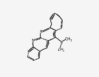 CN(C)c1c2ccccc2nc2nc3ccccc3cc12